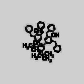 CC(C)(C)c1[c]c(C(C)(C)C)c(-c2cc(Cc3ccccc3)c(O)c(Cc3ccccc3)c2)c(-c2cc(Cc3ccccc3)c(O)c(Cc3ccccc3)c2)c1